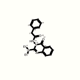 CCN(CC)c1nc2ccccc2c(=O)n1NC(=O)Cc1ccccc1